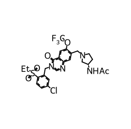 CCS(=O)(=O)c1ccc(Cl)cc1Cn1cnc2cc(CN3CC[C@@H](NC(C)=O)C3)c(OC(F)(F)F)cc2c1=O